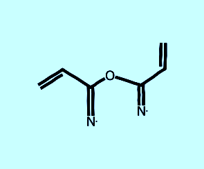 C=CC(=[N])OC(=[N])C=C